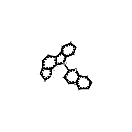 c1ccc2nc(-n3c4ccccc4c4ccc5ccoc5c43)ccc2c1